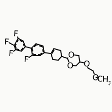 COCCOC1COC(C2CC=C(c3ccc(-c4cc(F)c(F)c(F)c4)c(F)c3)CC2)OC1